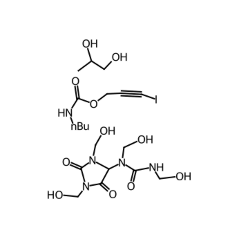 CC(O)CO.CCCCNC(=O)OCC#CI.O=C1C(N(CO)C(=O)NCO)N(CO)C(=O)N1CO